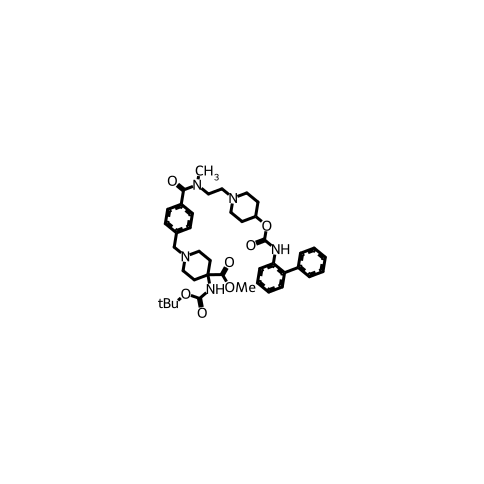 COC(=O)C1(NC(=O)OC(C)(C)C)CCN(Cc2ccc(C(=O)N(C)CCN3CCC(OC(=O)Nc4ccccc4-c4ccccc4)CC3)cc2)CC1